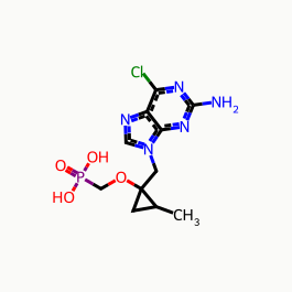 CC1CC1(Cn1cnc2c(Cl)nc(N)nc21)OCP(=O)(O)O